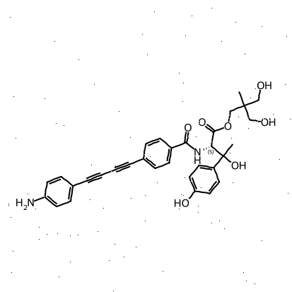 CC(CO)(CO)COC(=O)[C@@H](NC(=O)c1ccc(C#CC#Cc2ccc(N)cc2)cc1)C(C)(O)c1ccc(O)cc1